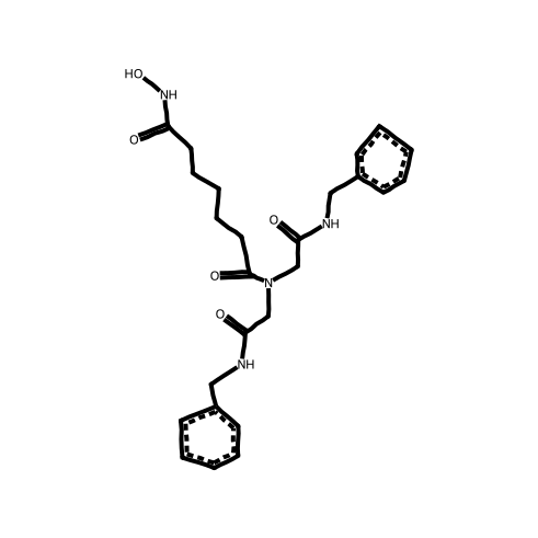 O=C(CCCCCC(=O)N(CC(=O)NCc1ccccc1)CC(=O)NCc1ccccc1)NO